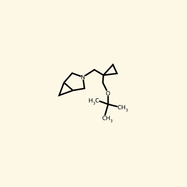 CC(C)(C)OCC1(CN2CC3CC3C2)CC1